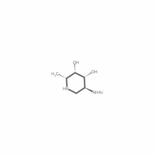 CC(=O)N[C@H]1CN[C@H](C)[C@H](O)[C@@H]1O